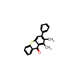 Cc1c(-c2ccccc2)cc2sc3ccccc3c(=O)c2c1C